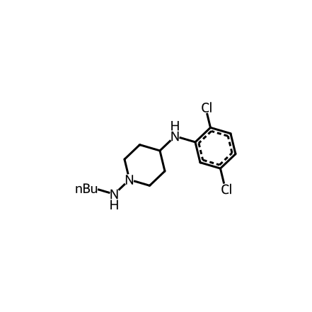 CCCCNN1CCC(Nc2cc(Cl)ccc2Cl)CC1